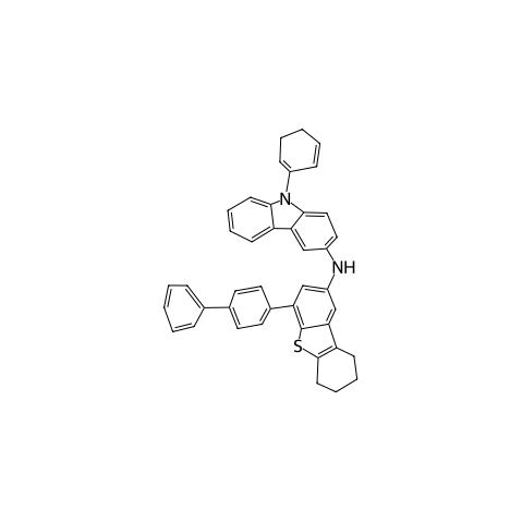 C1=CC(n2c3ccccc3c3cc(Nc4cc(-c5ccc(-c6ccccc6)cc5)c5sc6c(c5c4)CCCC6)ccc32)=CCC1